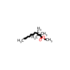 C/C=C/CC/C=C/CC(C)/C(C)=C(\C)C(=O)OCC